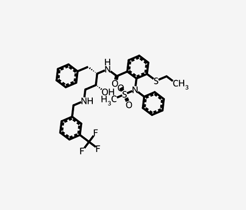 CCSc1cccc(C(=O)N[C@@H](Cc2ccccc2)[C@H](O)CNCc2cccc(C(F)(F)F)c2)c1N(c1ccccc1)S(C)(=O)=O